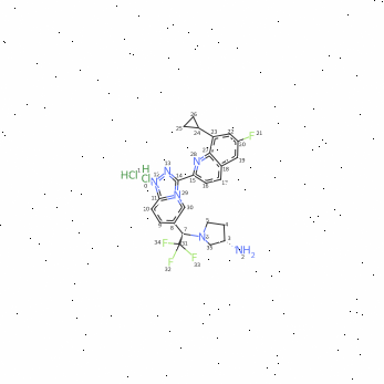 Cl.Cl.N[C@H]1CCN([C@H](c2ccc3nnc(-c4ccc5cc(F)cc(C6CC6)c5n4)n3c2)C(F)(F)F)C1